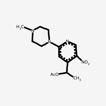 CC(=O)OC(C)c1cc(N2CCN(C)CC2)ncc1[N+](=O)[O-]